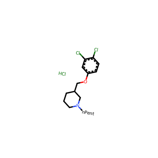 CCCCCN1CCCC(COc2ccc(Cl)c(Cl)c2)C1.Cl